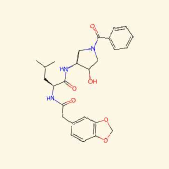 CC(C)C[C@H](NC(=O)Cc1ccc2c(c1)OCO2)C(=O)NC1CN(C(=O)c2ccccc2)CC1O